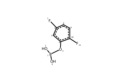 OB(O)Oc1cc(F)ccc1F